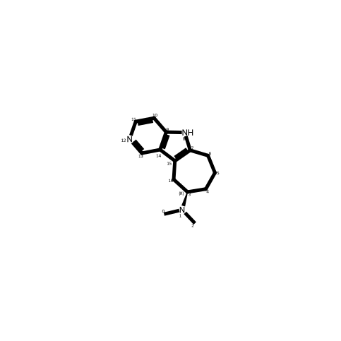 CN(C)[C@@H]1CCCc2[nH]c3ccncc3c2C1